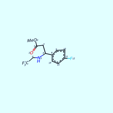 COC(=O)CC(NCC(F)(F)F)c1ccc(F)cc1